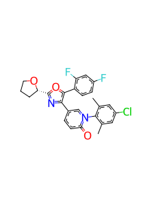 Cc1cc(Cl)cc(C)c1-n1cc(-c2nc([C@@H]3CCCO3)oc2-c2ccc(F)cc2F)ccc1=O